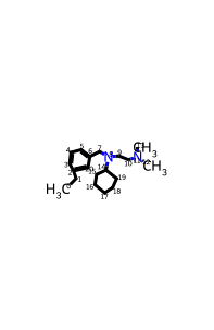 CCc1cccc(CN(CCN(C)C)C2CCCCC2)c1